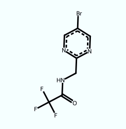 O=C(NCc1ncc(Br)cn1)C(F)(F)F